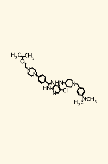 CC(C)OCCN1CCN(c2ccc(-c3nc4c(NC5CCN(Cc6ccc(N(C)C)cc6)CC5)c(Cl)cnc4[nH]3)cc2)CC1